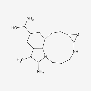 CN1C2CC(C(N)O)CC3CCC4OC4NCCCN(C32)C1N